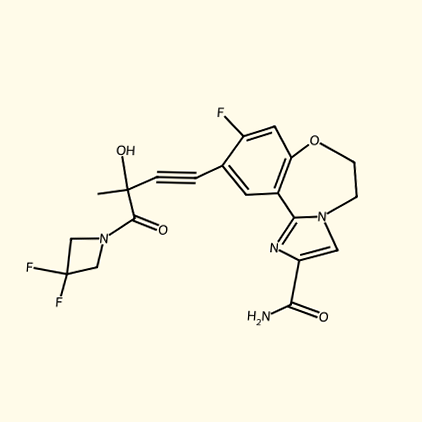 CC(O)(C#Cc1cc2c(cc1F)OCCn1cc(C(N)=O)nc1-2)C(=O)N1CC(F)(F)C1